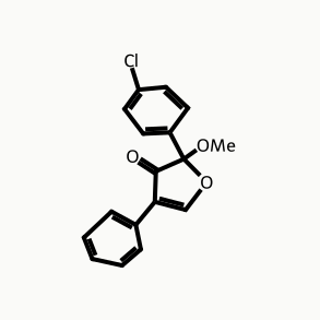 COC1(c2ccc(Cl)cc2)OC=C(c2ccccc2)C1=O